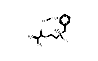 C=C(C)C(=O)OCC[N+](C)(C)Cc1ccccc1.O=S(=O)(O)O